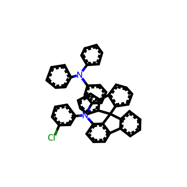 Clc1cccc(N(c2cccc(N(c3ccccc3)c3ccccc3)c2)c2cccc3c2C2(c4ccccc4-c4ccccc42)c2ccccc2-3)c1